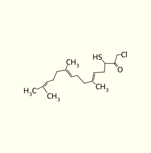 CC(C)=CCCC(C)=CCCC(C)=CCC(S)C(=O)CCl